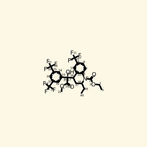 CCOC(=O)N1c2ccc(C(F)(F)F)cc2C([C@](O)(C(=O)OC)c2cc(C(F)(F)F)cc(C(F)(F)F)c2)CC1CC